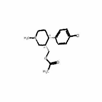 CC(=O)OC[C@@H]1CN(C)CC[C@@H]1c1ccc(Cl)cc1